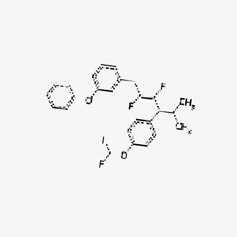 CC(C)C(C(F)=C(F)Cc1cccc(Oc2ccccc2)c1)c1ccc(OC(F)F)cc1